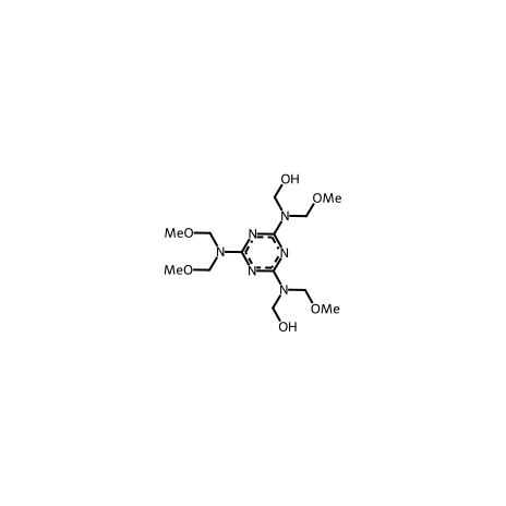 COCN(CO)c1nc(N(CO)COC)nc(N(COC)COC)n1